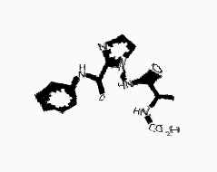 CC(NC(=O)O)C(=O)Nn1ccnc1C(=O)Nc1ccccc1